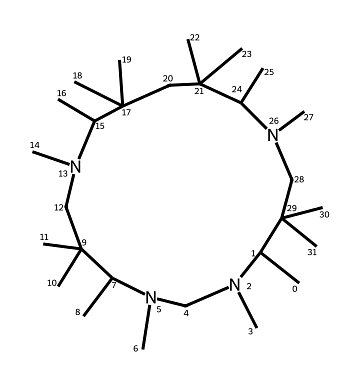 CC1N(C)CN(C)C(C)C(C)(C)CN(C)C(C)C(C)(C)CC(C)(C)C(C)N(C)CC1(C)C